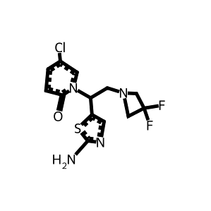 Nc1ncc(C(CN2CC(F)(F)C2)n2cc(Cl)ccc2=O)s1